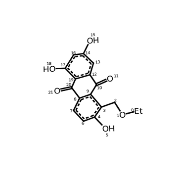 CCOCc1c(O)ccc2c1C(=O)c1cc(O)cc(O)c1C2=O